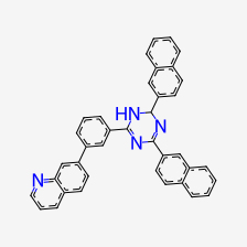 c1cc(C2=NC(c3ccc4ccccc4c3)=NC(c3ccc4ccccc4c3)N2)cc(-c2ccc3cccnc3c2)c1